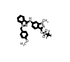 COc1ccc(Cn2nc(Nc3ccc4c(OS(=O)(=O)C(F)(F)F)nn(C)c4c3)c3ccccc32)cc1